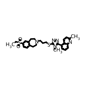 CCS(=O)(=O)c1ccc2c(c1)CCN(CCCSc1nnc(-c3cccc4nc(C)ccc34)n1C)CC2